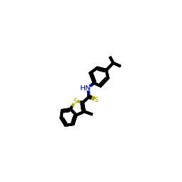 Cc1c(C(=S)Nc2ccc(C(C)C)cc2)sc2ccccc12